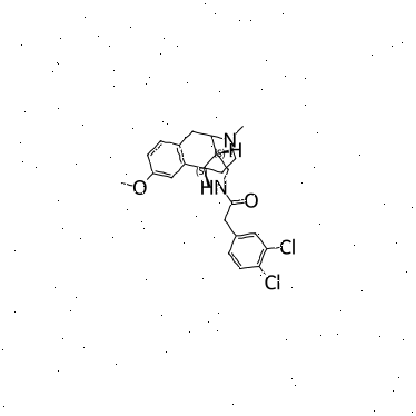 COc1ccc2c(c1)[C@@]1(C)CCN(C)C(C2)[C@@H]1CNC(=O)Cc1ccc(Cl)c(Cl)c1